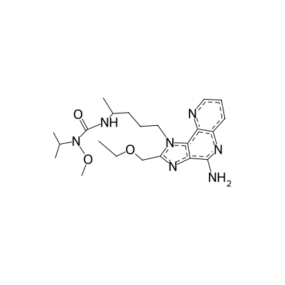 CCOCc1nc2c(N)nc3cccnc3c2n1CCCC(C)NC(=O)N(OC)C(C)C